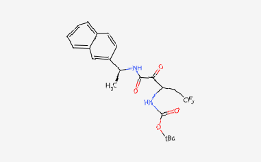 C[C@H](NC(=O)C(=O)C(CC(F)(F)F)NC(=O)OC(C)(C)C)c1ccc2ccccc2c1